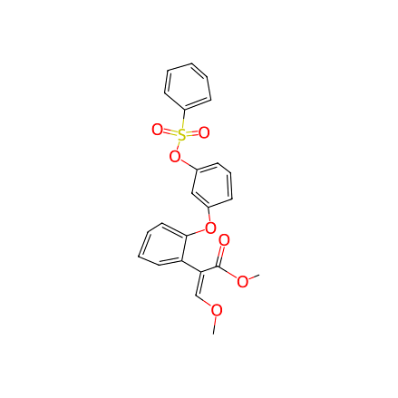 COC=C(C(=O)OC)c1ccccc1Oc1cccc(OS(=O)(=O)c2ccccc2)c1